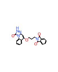 O=C1c2ccccc2C(=O)N1CCCOc1cc2n[nH]c(=O)n2c2ccccc12